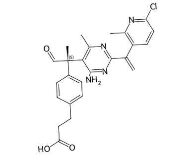 C=C(c1nc(C)c([C@@](C)(C=O)c2ccc(CCC(=O)O)cc2)c(N)n1)c1ccc(Cl)nc1C